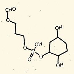 O=COCCCOP(=O)(O)OC1CC(O)CCC1O